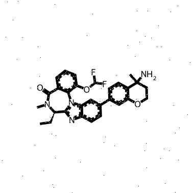 CC[C@@H]1c2nc3ccc(-c4ccc5c(c4)OCCC5(C)N)cc3n2-c2c(OC(F)F)cccc2C(=O)N1C